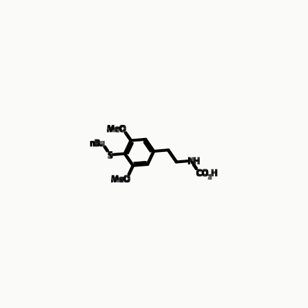 CCCCSc1c(OC)cc(CCNC(=O)O)cc1OC